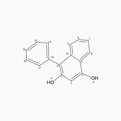 Oc1cc(O)c2ccccc2c1-c1ccccc1